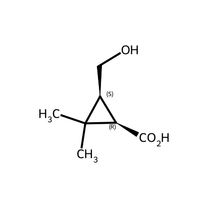 CC1(C)[C@H](C(=O)O)[C@@H]1CO